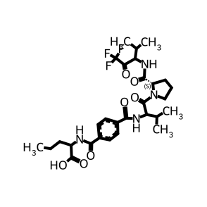 CCCC(NC(=O)c1ccc(C(=O)NC(C(=O)N2CCC[C@H]2C(=O)NC(C(=O)C(F)(F)F)C(C)C)C(C)C)cc1)C(=O)O